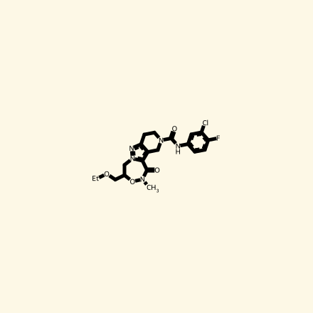 CCOCC1Cn2nc3c(c2C(=O)N(C)O1)CN(C(=O)Nc1ccc(F)c(Cl)c1)CC3